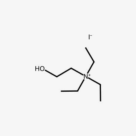 CC[N+](CC)(CC)CCO.[I-]